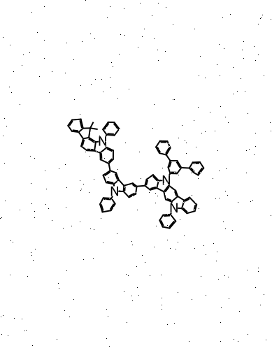 CC1(C)c2ccccc2-c2ccc3c4cc(-c5ccc6c(c5)c5cc(-c7ccc8c(c7)c7cc9c(cc7n8-c7cc(-c8ccccc8)cc(-c8ccccc8)c7)c7ccccc7n9-c7ccccc7)ccc5n6-c5ccccc5)ccc4n(-c4ccccc4)c3c21